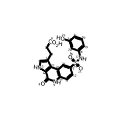 O=C(O)CCc1c[nH]c2c(=O)[nH]c3ccc(S(=O)(=O)Nc4cccc(O)c4)cc3c12